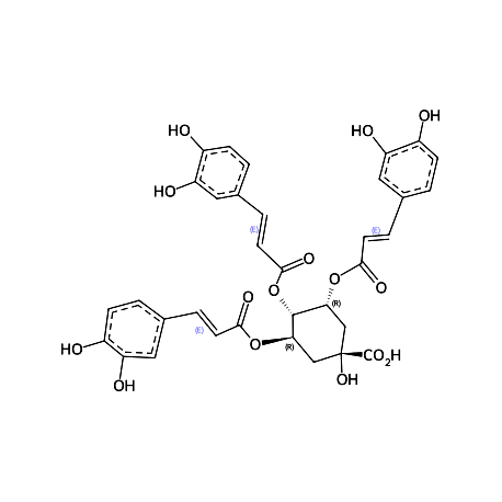 O=C(/C=C/c1ccc(O)c(O)c1)O[C@@H]1C[C@](O)(C(=O)O)C[C@@H](OC(=O)/C=C/c2ccc(O)c(O)c2)[C@H]1OC(=O)/C=C/c1ccc(O)c(O)c1